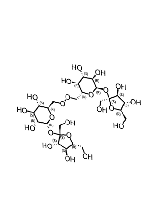 OC[C@H]1O[C@@](CO)(O[C@H]2O[C@H](COOC[C@H]3O[C@H](O[C@]4(CO)O[C@H](CO)[C@@H](O)[C@@H]4O)[C@H](O)[C@@H](O)[C@@H]3O)[C@@H](O)[C@H](O)[C@H]2O)[C@@H](O)[C@@H]1O